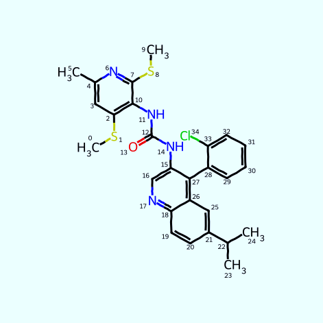 CSc1cc(C)nc(SC)c1NC(=O)Nc1cnc2ccc(C(C)C)cc2c1-c1ccccc1Cl